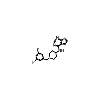 Fc1cc(F)cc(CN2CCC(Nc3ncnc4sccc34)CC2)c1